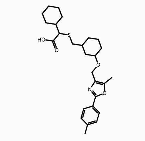 Cc1ccc(-c2nc(COC3CCCC(CSC(C(=O)O)C4CCCCC4)C3)c(C)o2)cc1